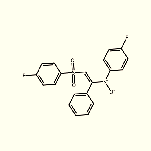 O=S(=O)(/C=C(\c1ccccc1)[S+]([O-])c1ccc(F)cc1)c1ccc(F)cc1